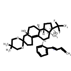 C=C/C=C/c1ccccc1[C@H]1C[C@@]2(C)[C@@H](CC[C@@]2(O)C(F)(F)C(F)(F)F)[C@@H]2CC[C@@]3(O)CC4(CCC3=C21)OCC(C)(C)CO4